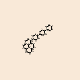 c1ccc(-c2ccc(-c3ccc(-c4ccc5ccc6cccc7ccc4c5c67)cc3)nc2)cc1